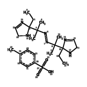 CCC1(C(C)(C)N=NC(C)(C)C2(CC)N=CCN2)N=CCN1.Cc1ccc(S(=O)(=O)O)cc1